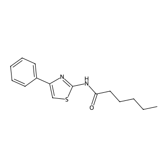 CCCCCC(=O)Nc1nc(-c2ccccc2)cs1